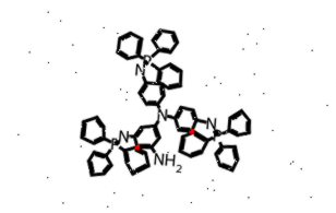 Nc1cc(N=P(c2ccccc2)(c2ccccc2)c2ccccc2)cc(N(c2ccc(N=P(c3ccccc3)(c3ccccc3)c3ccccc3)cc2)c2ccc(N=P(c3ccccc3)(c3ccccc3)c3ccccc3)cc2)c1